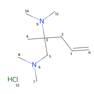 C=CCC(C)(CN(C)C)N(C)C.Cl